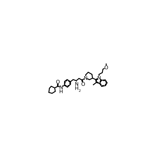 COCCCn1c(C2CCCN(C(=O)C[C@H](N)Cc3ccc(NC(=O)C4CCCCC4)cc3)C2)c(C)c2ccccc21